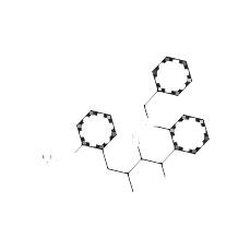 COc1ccccc1CC(C)C(N)C(O)c1ccccc1OCc1ccccc1